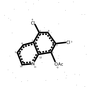 CC(=O)Oc1c(Cl)cc(Cl)c2cccnc12